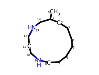 CC1CCCCCCCNCCCNC1